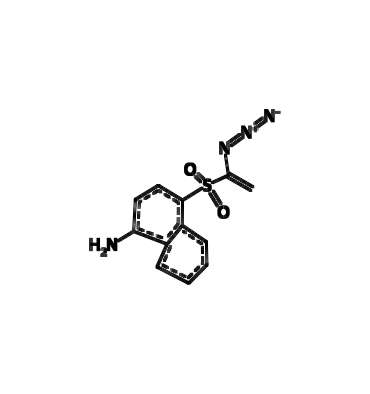 C=C(N=[N+]=[N-])S(=O)(=O)c1ccc(N)c2ccccc12